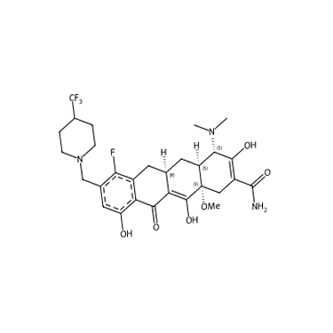 CO[C@@]12CC(C(N)=O)=C(O)[C@@H](N(C)C)[C@@H]1C[C@@H]1Cc3c(F)c(CN4CCC(C(F)(F)F)CC4)cc(O)c3C(=O)C1=C2O